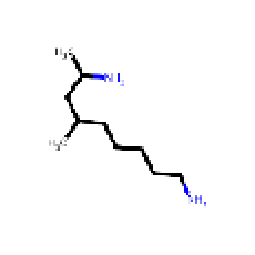 CC(N)CC(C)CCCCCN